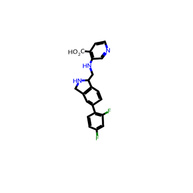 O=C(O)c1ccncc1NCC1NCc2cc(-c3ccc(F)cc3F)ccc21